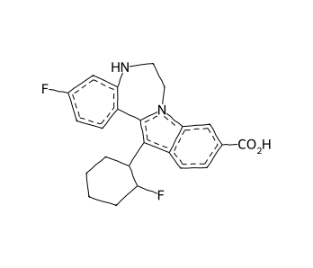 O=C(O)c1ccc2c(C3CCCCC3F)c3n(c2c1)CCNc1cc(F)ccc1-3